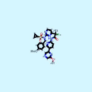 CCOc1cncc(-c2ccc(NC(=O)C(F)(CC)c3ccnc(N(Cc4ccc(OC)cc4)S(=O)(=O)C4CC4)n3)nc2)n1